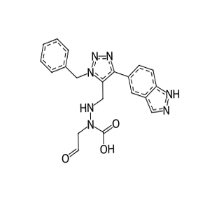 O=CCN(NCc1c(-c2ccc3[nH]ncc3c2)nnn1Cc1ccccc1)C(=O)O